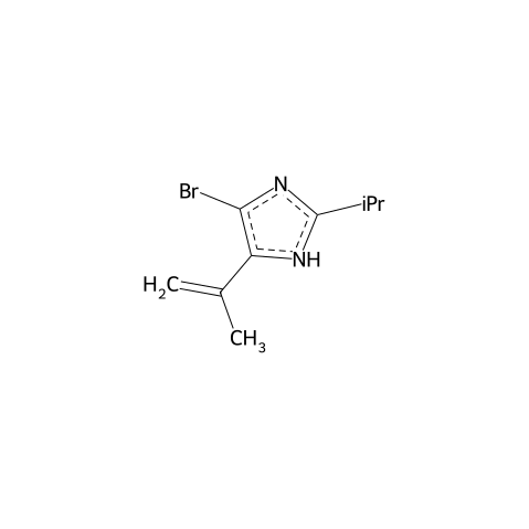 C=C(C)c1[nH]c(C(C)C)nc1Br